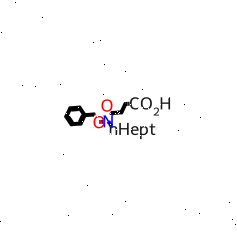 CCCCCCCN(OCc1ccccc1)C(=O)CCC(=O)O